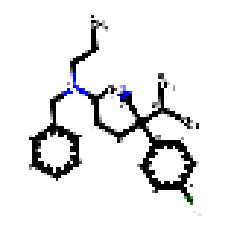 CCCN(Cc1ccccc1)C(C)CCC(C#N)(c1ccc(Cl)cc1)C(C)C